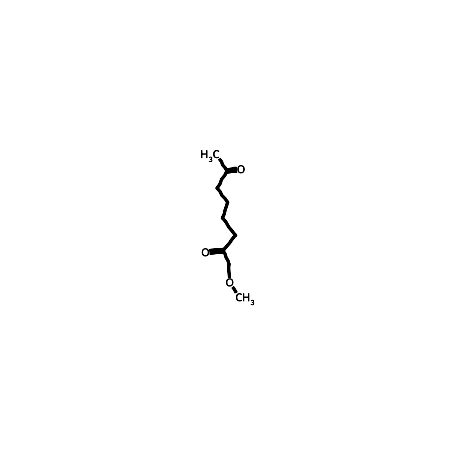 COCC(=O)CCCCC(C)=O